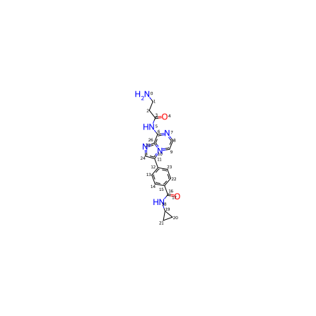 NCCC(=O)Nc1nccn2c(-c3ccc(C(=O)NC4CC4)cc3)cnc12